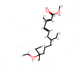 CCOC(C)(CC)CCCC(CC)CC=CC(C)=CC(=O)OC